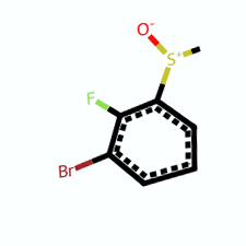 C[S+]([O-])c1cccc(Br)c1F